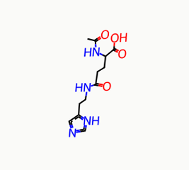 CC(=O)NC(CCC(=O)NCCc1cnc[nH]1)C(=O)O